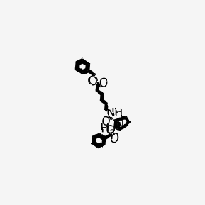 CN1C2CCC1[C@@H](C(=O)NCCCCCC(=O)OCc1ccccc1)[C@@H](OC(=O)c1ccccc1)C2